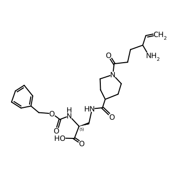 C=CC(N)CCC(=O)N1CCC(C(=O)NC[C@H](NC(=O)OCc2ccccc2)C(=O)O)CC1